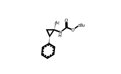 CC(=O)[C@@]1(NC(=O)OC(C)(C)C)C[C@H]1c1ccccc1